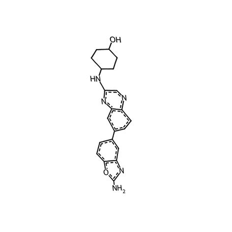 Nc1nc2cc(-c3ccc4ncc(NC5CCC(O)CC5)nc4c3)ccc2o1